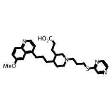 COc1ccc2nccc(CCCC3CCN(CCCSc4cnccn4)CC3CCC(=O)O)c2c1